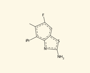 Cc1c(F)cc2sc(N)nc2c1C(C)C